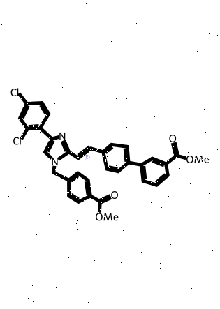 COC(=O)c1ccc(Cn2cc(-c3ccc(Cl)cc3Cl)nc2/C=C/c2ccc(-c3cccc(C(=O)OC)c3)cc2)cc1